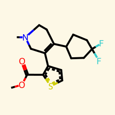 COC(=O)c1sccc1C1=C(C2CCC(F)(F)CC2)CCN(C)C1